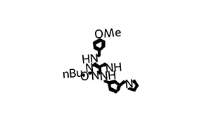 CCCCOc1nc(NCc2ccc(OC)cc2)c(C=N)c(NCc2cccc(CN3CCCC3)c2)n1